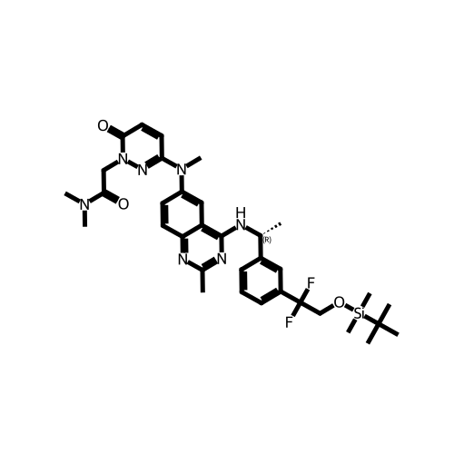 Cc1nc(N[C@H](C)c2cccc(C(F)(F)CO[Si](C)(C)C(C)(C)C)c2)c2cc(N(C)c3ccc(=O)n(CC(=O)N(C)C)n3)ccc2n1